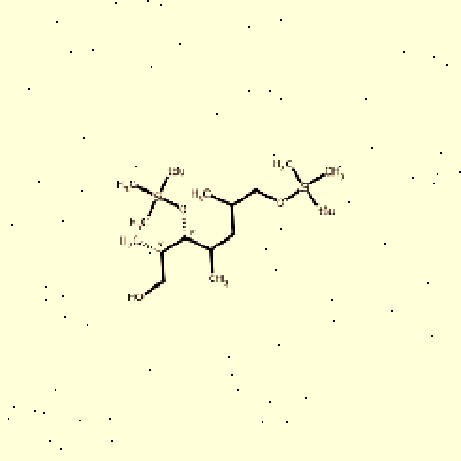 CC(CO[Si](C)(C)C(C)(C)C)CC(C)[C@@H](O[Si](C)(C)C(C)(C)C)[C@@H](C)CO